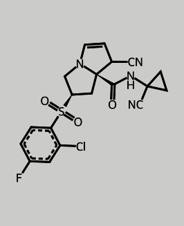 N#CC1C=CN2C[C@H](S(=O)(=O)c3ccc(F)cc3Cl)C[C@@]12C(=O)NC1(C#N)CC1